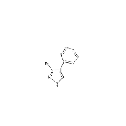 Brc1n[nH][c]c1-c1ccccn1